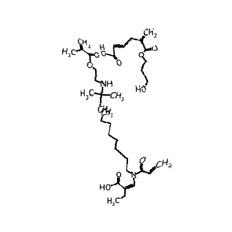 C=C(C)C(=O)OCCNC(C)(C)C.C=C(CC=CC(=O)O)C(=O)OCCCO.C=CC(=O)N(C=C(CC)C(=O)O)CCCCCCCC